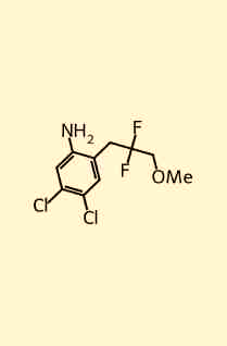 COCC(F)(F)Cc1cc(Cl)c(Cl)cc1N